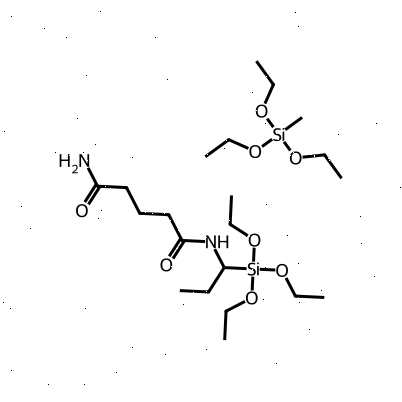 CCO[Si](C)(OCC)OCC.CCO[Si](OCC)(OCC)C(CC)NC(=O)CCCC(N)=O